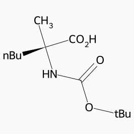 CCCC[C@](C)(NC(=O)OC(C)(C)C)C(=O)O